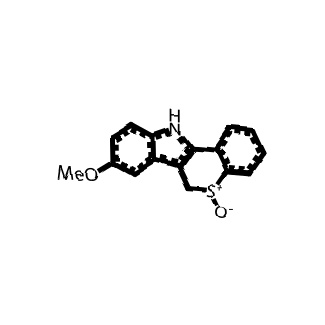 COc1ccc2[nH]c3c(c2c1)C[S+]([O-])c1ccccc1-3